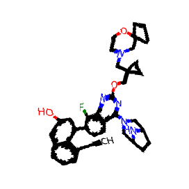 C#Cc1cccc2cc(O)cc(-c3ccc4c(N5CC6CCC(C5)N6)nc(OCC5(CN6CCOC7(CCC7)C6)CC5)nc4c3F)c12